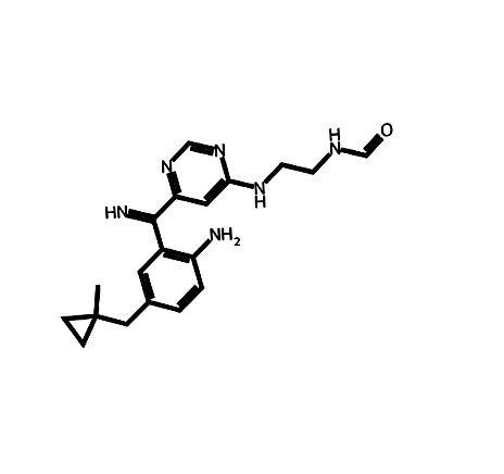 CC1(Cc2ccc(N)c(C(=N)c3cc(NCCNC=O)ncn3)c2)CC1